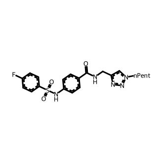 CCCCCn1cc(CNC(=O)c2ccc(NS(=O)(=O)c3ccc(F)cc3)cc2)nn1